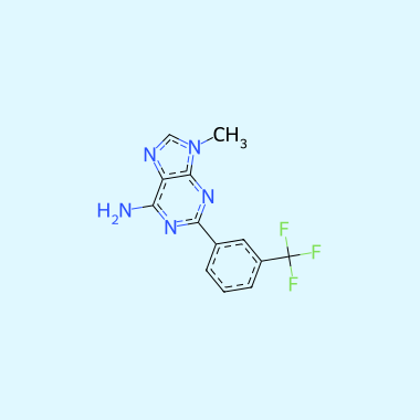 Cn1cnc2c(N)nc(-c3cccc(C(F)(F)F)c3)nc21